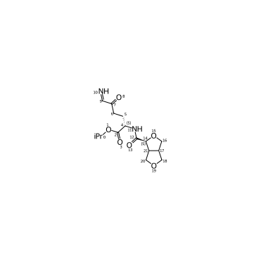 CC(C)OC(=O)[C@H](CCC(=O)C=N)NC(=O)[C@H]1OCC2COCC21